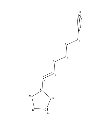 N#CCCCC/C=C/C1CCOC1